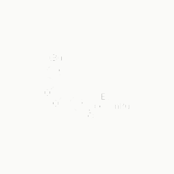 CCCCC(CC)COC(=O)c1ccc(C(=O)CC(=O)c2ccc(C(C)(C)C)cc2)cc1